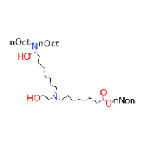 CCCCCCCCCOC(=O)CCCCCCCN(CCO)CCCCCCCC(O)N(CCCCCCCC)CCCCCCCC